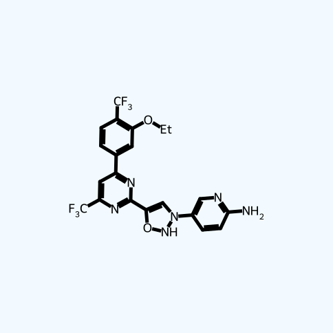 CCOc1cc(-c2cc(C(F)(F)F)nc(C3=CN(c4ccc(N)nc4)NO3)n2)ccc1C(F)(F)F